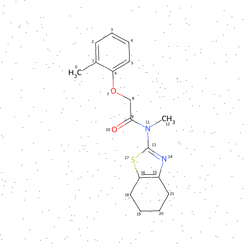 Cc1ccccc1OCC(=O)N(C)c1nc2c(s1)CCCC2